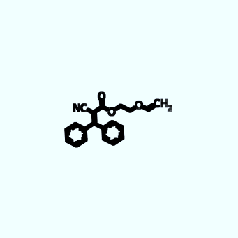 C=COCCOC(=O)C(C#N)=C(c1ccccc1)c1ccccc1